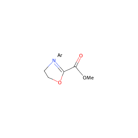 COC(=O)C1=NCCO1.[Ar]